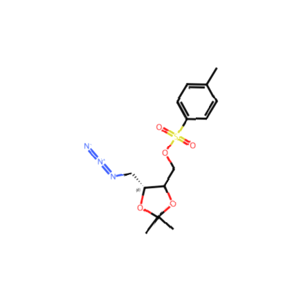 Cc1ccc(S(=O)(=O)OCC2OC(C)(C)O[C@@H]2CN=[N+]=[N-])cc1